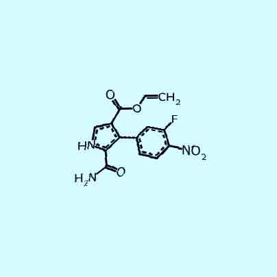 C=COC(=O)c1c[nH]c(C(N)=O)c1-c1ccc([N+](=O)[O-])c(F)c1